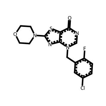 O=c1ncn(Cc2cc(Cl)ccc2F)c2nc(N3CCOCC3)sc12